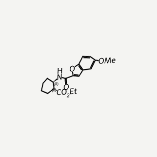 CCOC(=O)[C@@H]1CCCC[C@H]1NC(=O)c1cc2cc(OC)ccc2o1